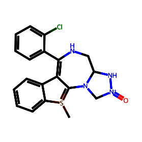 CS1=C2C(=C(c3ccccc3Cl)NCC3N[N+](=O)CN23)c2ccccc21